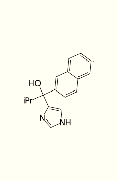 CC(C)C(O)(c1ccc2c[c]ccc2c1)c1c[nH]cn1